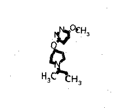 CCC(C)N1CCC(Oc2ccc(OC)nn2)CC1